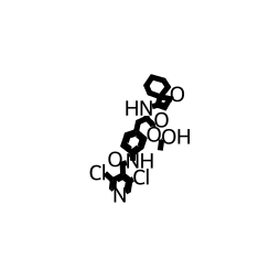 CC(O)OC(=O)C(Cc1ccc(NC(=O)c2c(Cl)cncc2Cl)cc1)NC1=CC(=O)C12CCCCC2